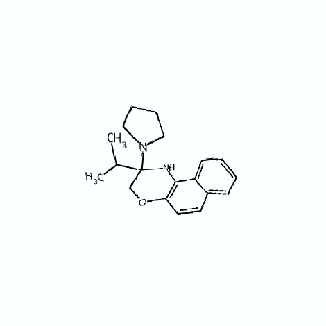 CC(C)C1(N2CCCC2)COc2ccc3ccccc3c2N1